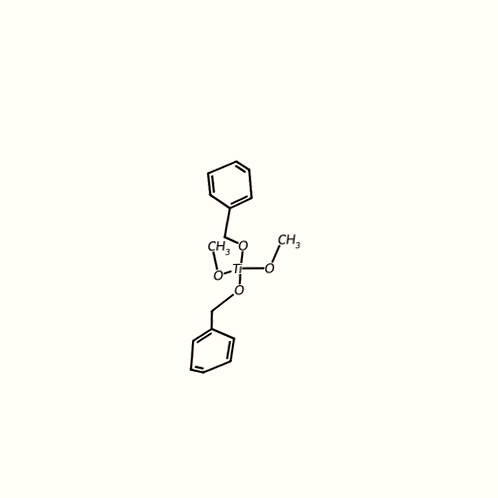 C[O][Ti]([O]C)([O]Cc1ccccc1)[O]Cc1ccccc1